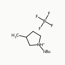 CCCC[NH+]1CCC(C)C1.F[B-](F)(F)F